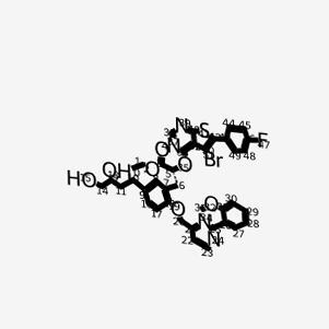 CCOC(=O)[C@@H](Cc1cc(CC[C@H](O)CO)ccc1OCc1ccnc(-c2ccccc2OC)n1)Oc1ncnc2sc(-c3ccc(F)cc3)c(Br)c12